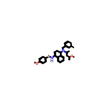 C=C(CC(C)N(CC1=CC(C)CC=C1)c1ccc(NSc2ccc(OC)cc2)c2ccccc12)OC